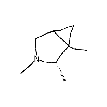 C[C@@H]1N(C)CC2CC21C